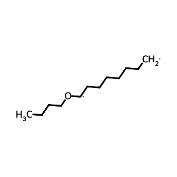 [CH2]CCCCCC[CH]OCCCC